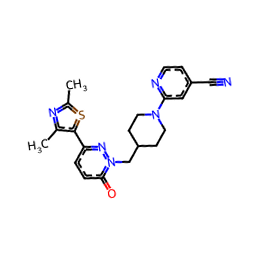 Cc1nc(C)c(-c2ccc(=O)n(CC3CCN(c4cc(C#N)ccn4)CC3)n2)s1